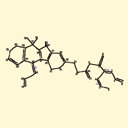 C=C/C=C(\C=C/C)C(=C)CC(=C)CCC1=Cc2[nH]c3c(c2CC1)/C(=C/C=C)C1=C(CCC=C1)C3(C)C